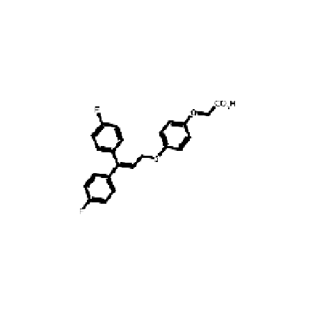 O=C(O)COc1ccc(SCC=C(c2ccc(F)cc2)c2ccc(F)cc2)cc1